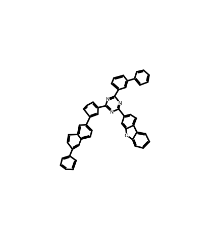 c1ccc(-c2cccc(-c3nc(-c4cccc(-c5ccc6cc(-c7ccccc7)ccc6c5)c4)nc(-c4ccc5c(c4)oc4ccccc45)n3)c2)cc1